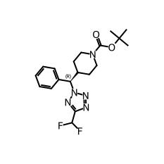 CC(C)(C)OC(=O)N1CCC([C@H](c2ccccc2)n2nnc(C(F)F)n2)CC1